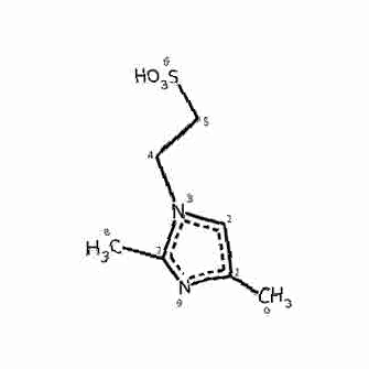 Cc1cn(CCS(=O)(=O)O)c(C)n1